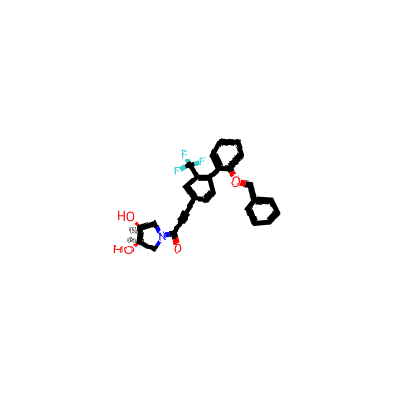 O=C(C#Cc1ccc(-c2ccccc2OCc2ccccc2)c(C(F)(F)F)c1)N1C[C@@H](O)[C@@H](O)C1